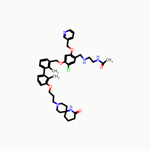 CC(=O)NCCNCc1cc(Cl)c(OCc2cccc(-c3cccc(OCCCN4CCC5(CCCC(=O)N5)CC4)c3C)c2C)cc1OCc1cccnc1